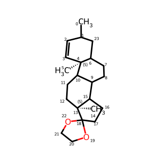 CC1C=C[C@@]2(C)C(CCC3C2CC[C@@]2(C)C3CCC23OCCO3)C1